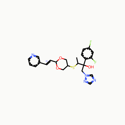 CC(SC1COC(/C=C/c2cccnc2)OC1)C(O)(Cn1cncn1)c1ccc(F)cc1F